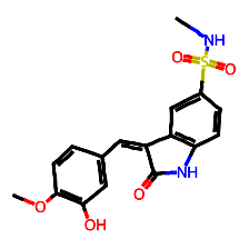 CNS(=O)(=O)c1ccc2c(c1)C(=Cc1ccc(OC)c(O)c1)C(=O)N2